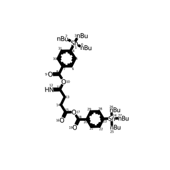 CCC[CH2][Sn]([CH2]CCC)([CH2]CCC)[c]1ccc(C(=O)OC(=N)CCC(=O)OC(=O)c2cc[c]([Sn]([CH2]CCC)([CH2]CCC)[CH2]CCC)cc2)cc1